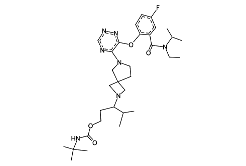 CCN(C(=O)c1cc(F)ccc1Oc1nncnc1N1CCC2(C1)CN(C(CCOC(=O)NC(C)(C)C)C(C)C)C2)C(C)C